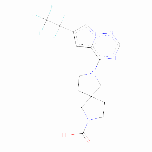 O=C(O)N1CCC2(CCN(c3ncnn4cc(C(F)(F)C(F)(F)F)cc34)C2)C1